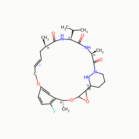 CC(C)[C@@H]1NC(=O)[C@H](C)C/C=C/COc2ccc(F)c(c2)[C@@H](C)OC2OC2[C@@H]2CCCN(N2)C(=O)[C@H](C)NC1=O